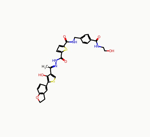 C/C(=N\NC(=O)c1ccc(C(=O)NCc2ccc(C(=O)NCCO)cc2)s1)c1csc(-c2ccc3c(c2)CCO3)c1O